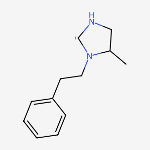 CC1CN[C]N1CCc1ccccc1